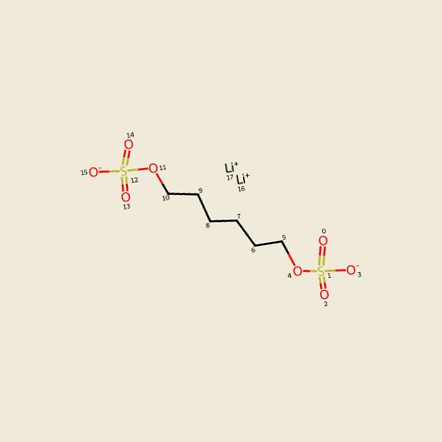 O=S(=O)([O-])OCCCCCCOS(=O)(=O)[O-].[Li+].[Li+]